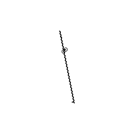 CCCCC=CCCCCCCCC(=O)OCCCCCCCCCCCCCCCCCCCCCCCCCCCCCCCCCC(C)C